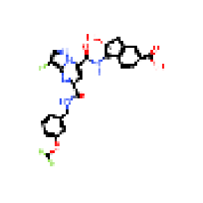 O=C(O)c1ccc2c(c1)C[C@@H](O)[C@@H]2NC(=O)c1cc(C(=O)NCc2cccc(OC(F)F)c2)nc2c(F)cnn12